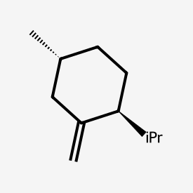 C=C1C[C@H](C)CC[C@H]1C(C)C